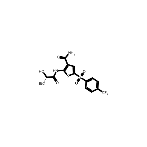 CC(C)(C)[C@H](O)C(=O)Nc1sc(S(=O)(=O)c2ccc(C(F)(F)F)cc2)cc1C(N)=O